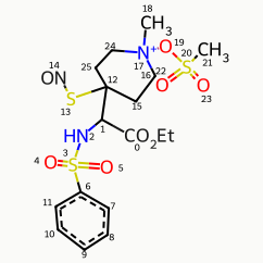 CCOC(=O)C(NS(=O)(=O)c1ccccc1)C1(SN=O)CC[N+](C)(OS(C)(=O)=O)CC1